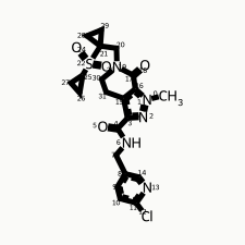 Cn1nc(C(=O)NCc2ccc(Cl)nc2)c2c1C(=O)N(CC1(S(=O)(=O)C3CC3)CC1)CC2